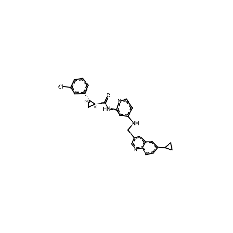 O=C(Nc1cc(NCc2cnc3ccc(C4CC4)cc3c2)ccn1)[C@H]1C[C@@H]1c1cccc(Cl)c1